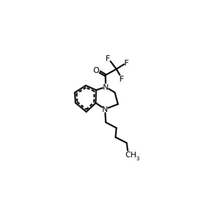 CCCCCN1CCN(C(=O)C(F)(F)F)c2ccccc21